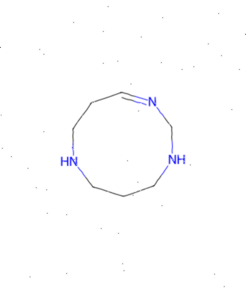 C1=NCNCCCNCC1